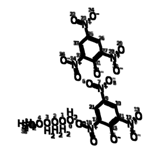 O.O.O.O.O.O.O=[N+]([O-])c1cc([N+](=O)[O-])c([O-])c([N+](=O)[O-])c1.O=[N+]([O-])c1cc([N+](=O)[O-])c([O-])c([N+](=O)[O-])c1.[Sr+2]